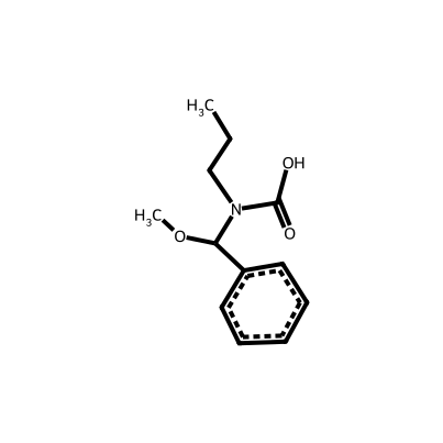 CCCN(C(=O)O)C(OC)c1ccccc1